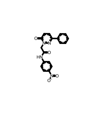 O=C(Cn1nc(-c2ccccc2)ccc1=O)Nc1ccc([N+](=O)[O-])cc1